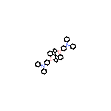 C1=CC2B(c3ccc(N(c4ccccc4)c4ccccc4)cc3)c3ccccc3C3(c4ccccc4B(c4ccc(N(c5ccccc5)c5ccccc5)cc4)C4C=CC=CC43)C2C=C1